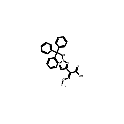 CO/N=C(/C(=O)O)c1cnn(NC(c2ccccc2)(c2ccccc2)c2ccccc2)n1